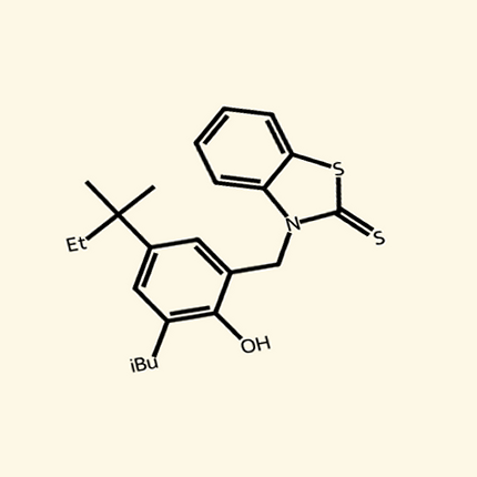 CCC(C)c1cc(C(C)(C)CC)cc(Cn2c(=S)sc3ccccc32)c1O